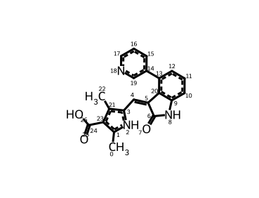 Cc1[nH]c(C=C2C(=O)Nc3cccc(-c4cccnc4)c32)c(C)c1C(=O)O